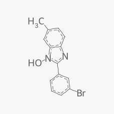 Cc1ccc2nc(-c3cccc(Br)c3)n(O)c2c1